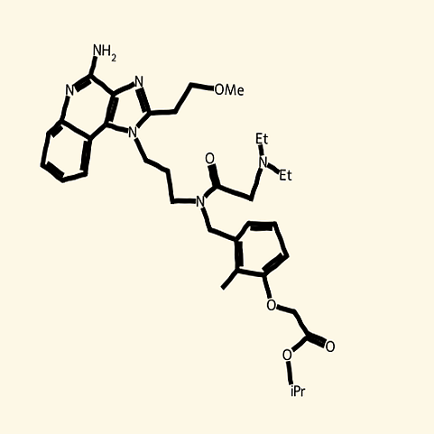 CCN(CC)CC(=O)N(CCCn1c(CCOC)nc2c(N)nc3ccccc3c21)Cc1cccc(OCC(=O)OC(C)C)c1C